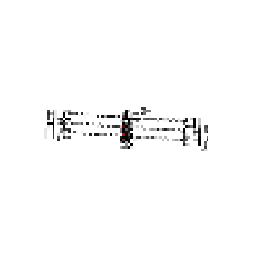 CCCCCCCCCCCCCCCCCCCCN(CCCCCCCCCCCCCCCCCCCC)C(=S)[S-].CCCCCCCCCCCCCCCCCCCCN(CCCCCCCCCCCCCCCCCCCC)C(=S)[S-].CCCCCCCCCCCCCCCCCCCCN(CCCCCCCCCCCCCCCCCCCC)C(=S)[S-].[Sb+3]